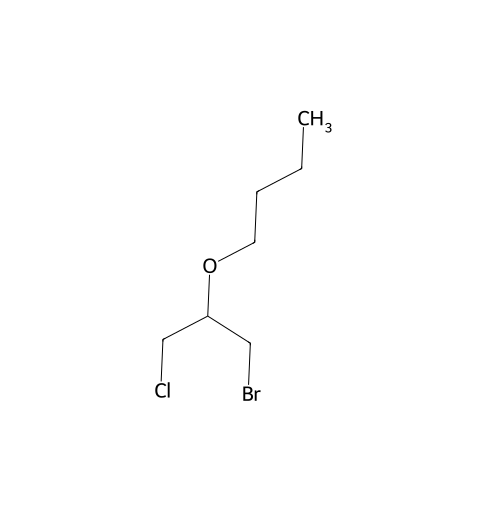 CCCCOC(CCl)CBr